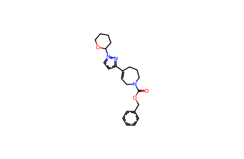 O=C(OCc1ccccc1)N1CC=C(c2ccn(C3CCCCO3)n2)CCC1